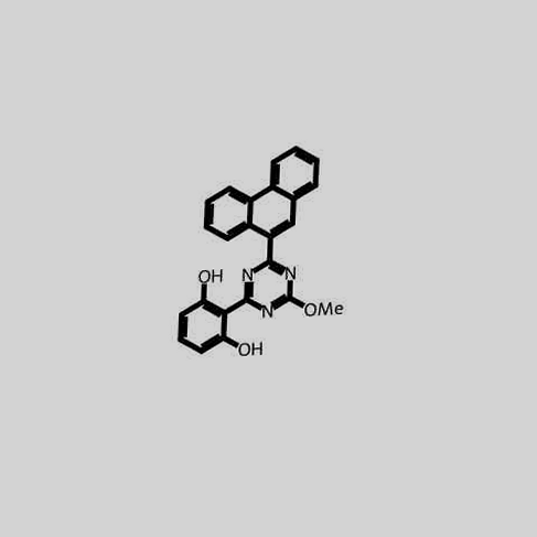 COc1nc(-c2c(O)cccc2O)nc(-c2cc3ccccc3c3ccccc23)n1